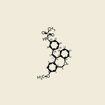 COc1ccc2c(c1)COc1ccccc1/C2=C\c1cccc(NS(C)(=O)=O)c1